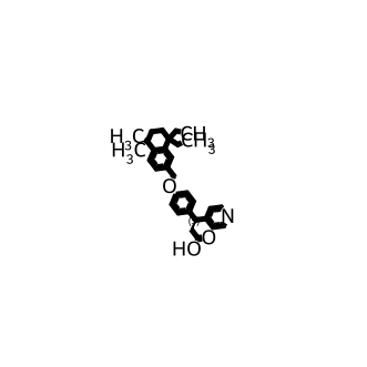 CCC1(CC)CCC(C)(C)c2ccc(COc3ccc([C@H](CC(=O)O)c4ccncc4)cc3)cc21